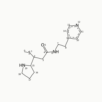 CSC(CC(=O)NCCc1ccncc1)C1CCCN1